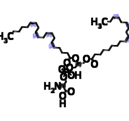 CC/C=C\C/C=C\C/C=C\CCCCCCCC(=O)OC[C@H](COP(=O)(O)OC[C@H](N)C(=O)O)OC(=O)CCC/C=C\C/C=C\C/C=C\C/C=C\CCCCC